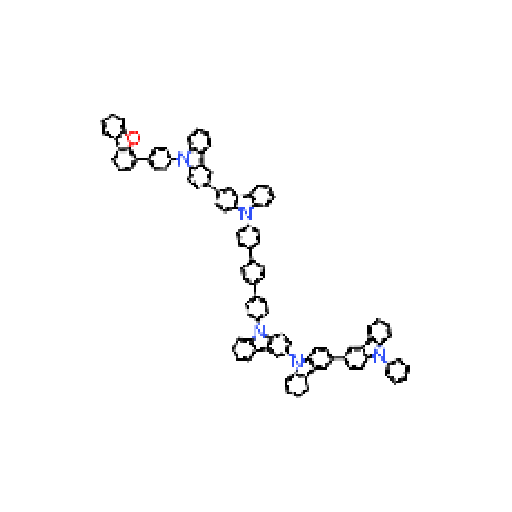 c1ccc(-n2c3ccccc3c3cc(-c4ccc5c(c4)c4ccccc4n5-c4ccc5c(c4)c4ccccc4n5-c4ccc(-c5ccc(-c6ccc(-n7c8ccccc8c8cc(-c9ccc%10c(c9)c9ccccc9n%10-c9ccc(-c%10cccc%11c%10oc%10ccccc%10%11)cc9)ccc87)cc6)cc5)cc4)ccc32)cc1